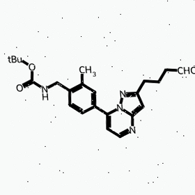 Cc1cc(-c2ccnc3cc(CCCC=O)nn23)ccc1CNC(=O)OC(C)(C)C